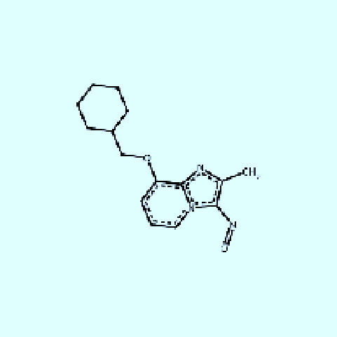 Cc1nc2c(OCC3CCCCC3)cccn2c1N=O